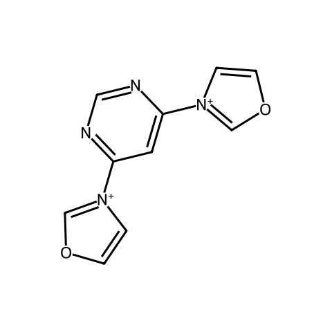 c1nc(-[n+]2ccoc2)cc(-[n+]2ccoc2)n1